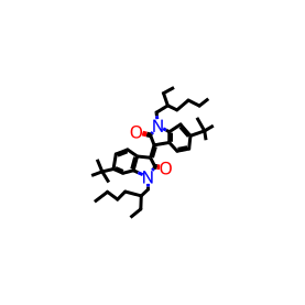 CCCCC(CC)CN1C(=O)/C(=C2/C(=O)N(CC(CC)CCCC)c3cc(C(C)(C)C)ccc32)c2ccc(C(C)(C)C)cc21